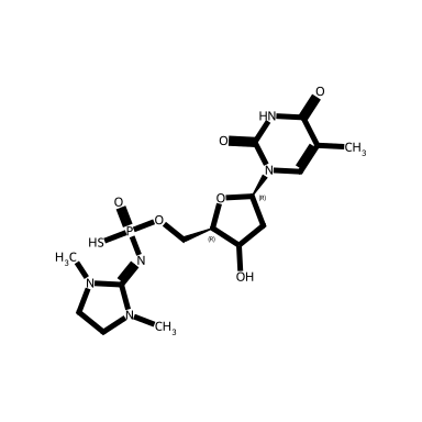 Cc1cn([C@H]2CC(O)[C@@H](COP(=O)(S)N=C3N(C)CCN3C)O2)c(=O)[nH]c1=O